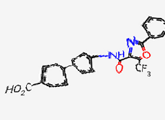 O=C(O)c1ccc(-c2ccc(NC(=O)c3nc(-c4ccccc4)oc3C(F)(F)F)cc2)cc1